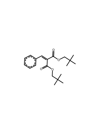 CC(C)(C)COC(=O)C(=Cc1ccccc1)C(=O)OCC(C)(C)C